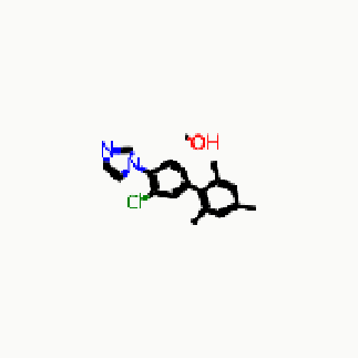 CO.Cc1cc(C)c(-c2ccc(-n3ccnc3)c(Cl)c2)c(C)c1